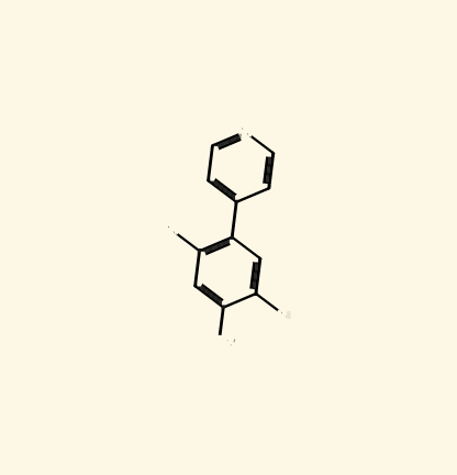 COc1cc(N)c(-c2ccncc2)cc1N